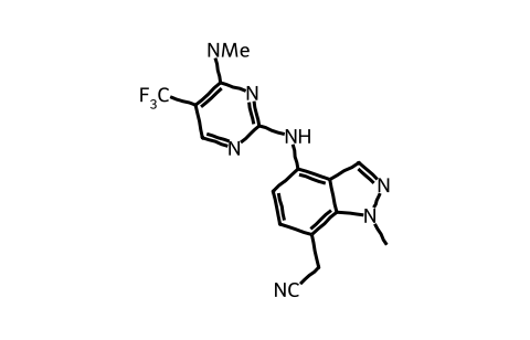 CNc1nc(Nc2ccc(CC#N)c3c2cnn3C)ncc1C(F)(F)F